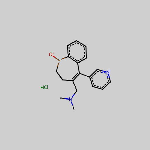 CN(C)CC1=C(c2cccnc2)c2ccccc2[S+]([O-])CC1.Cl